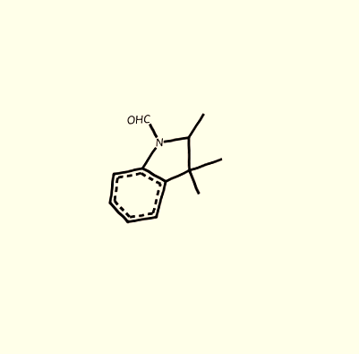 CC1N(C=O)c2ccccc2C1(C)C